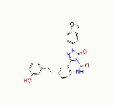 Cc1ccc(-n2nc3c4cc(CCc5cccc(O)c5)ccc4[nH]c(=O)n3c2=O)cc1